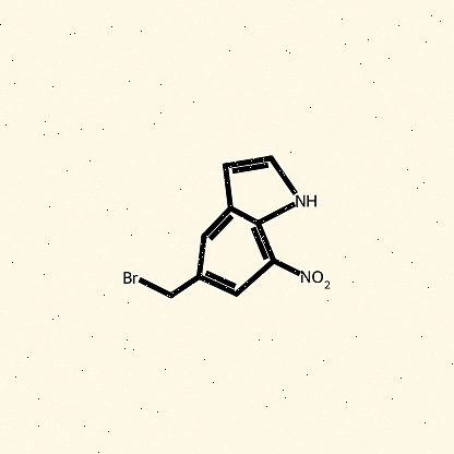 O=[N+]([O-])c1cc(CBr)cc2cc[nH]c12